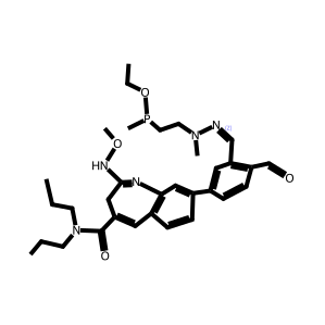 CCCN(CCC)C(=O)C1=Cc2ccc(-c3ccc(C=O)c(/C=N\N(C)CCP(C)OCC)c3)cc2N=C(NOC)C1